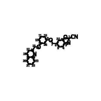 N#Cc1nc2ccc(COc3cccc(OCc4ccc5ccccc5n4)c3)cc2o1